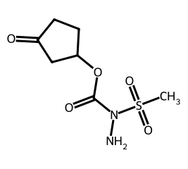 CS(=O)(=O)N(N)C(=O)OC1CCC(=O)C1